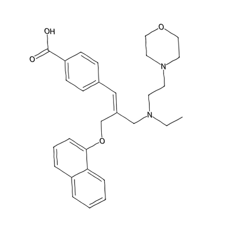 CCN(CCN1CCOCC1)CC(=Cc1ccc(C(=O)O)cc1)COc1cccc2ccccc12